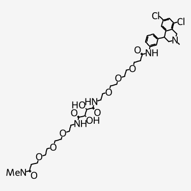 CNC(=O)CCOCCOCCOCCNC(=O)[C@H](O)[C@@H](O)C(=O)NCCOCCOCCOCCC(=O)Nc1cccc(C2CN(C)Cc3c(Cl)cc(Cl)cc32)c1